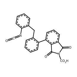 O=C=Nc1ccccc1Cc1ccccc1-c1cccc2c1C(=O)N(C(=O)O)C2=O